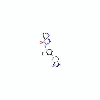 CN1C=NC2C=CC(c3ccc(Cn4cnc5ncccc5c4=O)c(F)c3)=CC21